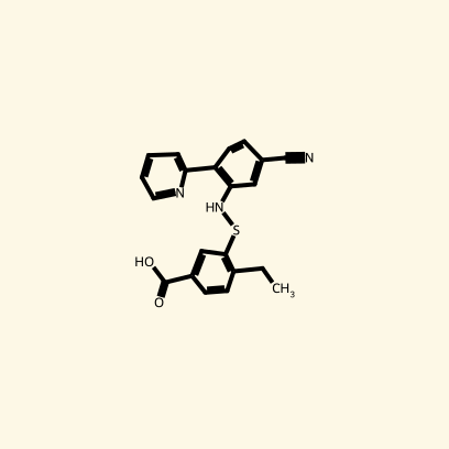 CCc1ccc(C(=O)O)cc1SNc1cc(C#N)ccc1-c1ccccn1